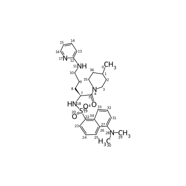 CC1CCN(C(=O)[C@H](CCCNc2ccccn2)NS(=O)(=O)c2cccc3c(N(C)C)cccc23)CC1